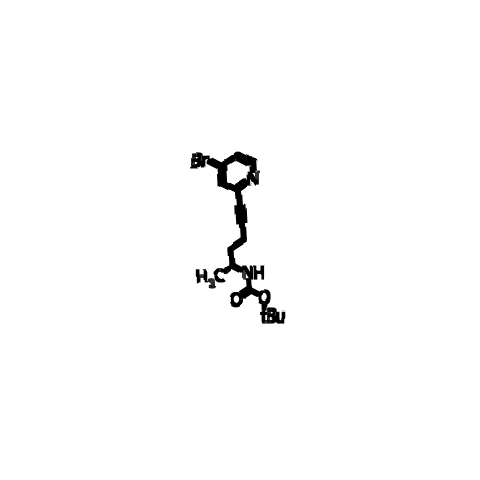 C[C@@H](CCC#Cc1cc(Br)ccn1)NC(=O)OC(C)(C)C